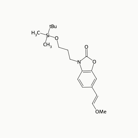 COC=Cc1ccc2c(c1)oc(=O)n2CCCO[Si](C)(C)C(C)(C)C